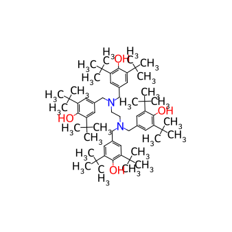 CC(C)(C)c1cc(CN(CCN(Cc2cc(C(C)(C)C)c(O)c(C(C)(C)C)c2)Cc2cc(C(C)(C)C)c(O)c(C(C)(C)C)c2)Cc2cc(C(C)(C)C)c(O)c(C(C)(C)C)c2)cc(C(C)(C)C)c1O